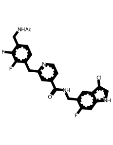 CC(=O)NCc1ccc(Cc2cc(C(=O)NCc3cc4c(Cl)c[nH]c4cc3F)ccn2)c(F)c1F